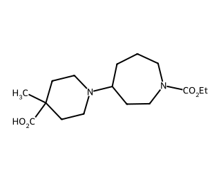 CCOC(=O)N1CCCC(N2CCC(C)(C(=O)O)CC2)CC1